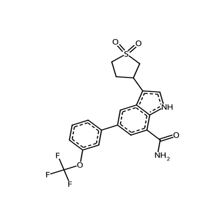 NC(=O)c1cc(-c2cccc(OC(F)(F)F)c2)cc2c(C3CCS(=O)(=O)C3)c[nH]c12